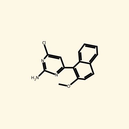 COc1ccc2ccccc2c1-c1cc(Cl)nc(N)n1